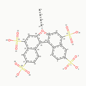 O=S(=O)([O-])c1ccc2c(c1)c(S(=O)(=O)[O-])cc1oc3cc(S(=O)(=O)[O-])c4cc(S(=O)(=O)[O-])ccc4c3c12.[K+].[K+].[K+].[K+]